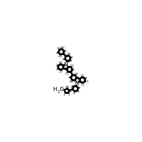 CC1C=CC(c2cccc(-n3c4ccccc4c4cc(-c5ccc6c(c5)c5ccccc5n6-c5cccc(-c6ccccc6)c5)ccc43)c2)=C1